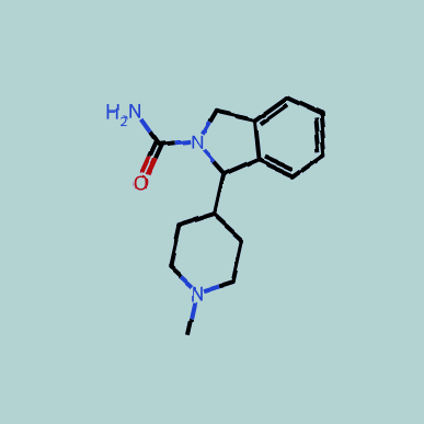 CN1CCC(C2c3ccccc3CN2C(N)=O)CC1